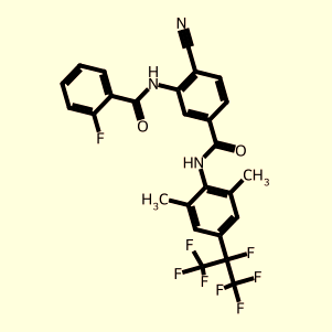 Cc1cc(C(F)(C(F)(F)F)C(F)(F)F)cc(C)c1NC(=O)c1ccc(C#N)c(NC(=O)c2ccccc2F)c1